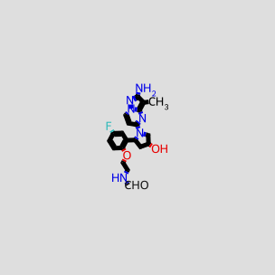 Cc1c(N)nn2ccc(N3CC(O)CC3c3cc(F)ccc3OCCNC=O)nc12